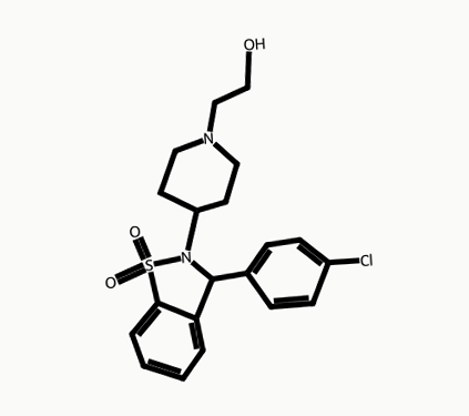 O=S1(=O)c2ccccc2C(c2ccc(Cl)cc2)N1C1CCN(CCO)CC1